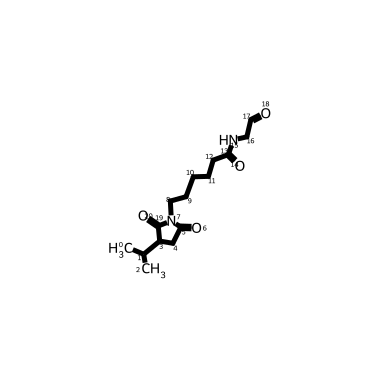 CC(C)C1CC(=O)N(CCCCCC(=O)NCC=O)C1=O